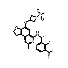 Cc1nc(N[C@H](C)c2cccc(C(F)F)c2F)c2cc(OC3CN(S(C)(=O)=O)C3)c3c(c2n1)CCO3